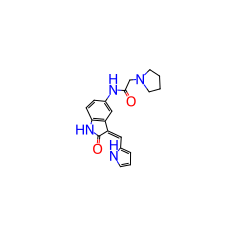 O=C(CN1CCCC1)Nc1ccc2c(c1)C(=Cc1ccc[nH]1)C(=O)N2